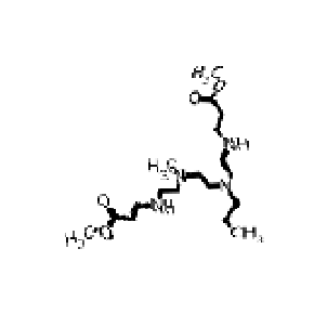 CCCN(CCNCCC(=O)OC)CCN(C)CCNCCC(=O)OC